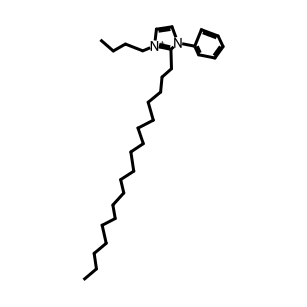 CCCCCCCCCCCCCCCCCCc1n(-c2ccccc2)cc[n+]1CCCC